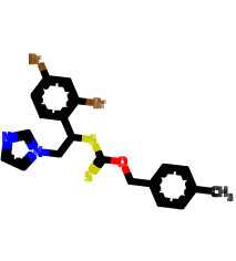 Cc1ccc(COC(=S)SC(Cn2ccnc2)c2ccc(Br)cc2Br)cc1